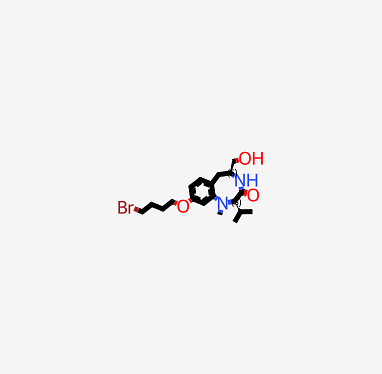 CC(C)[C@H]1C(=O)N[C@H](CO)Cc2ccc(OCCCCBr)cc2N1C